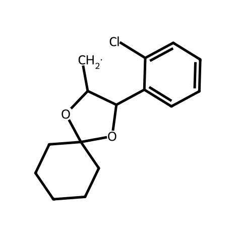 [CH2]C1OC2(CCCCC2)OC1c1ccccc1Cl